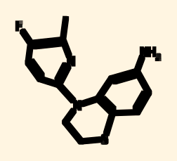 Cc1nc(N2CCSc3ccc(N)cc32)ccc1F